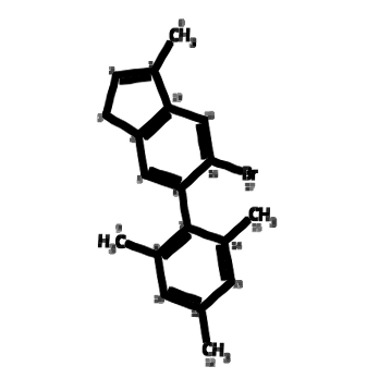 CC1=CCc2cc(-c3c(C)cc(C)cc3C)c(Br)cc21